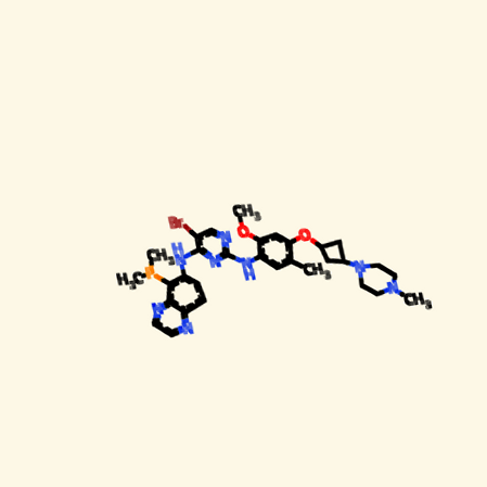 COc1cc(OC2CC(N3CCN(C)CC3)C2)c(C)cc1Nc1ncc(Br)c(Nc2ccc3nccnc3c2P(C)C)n1